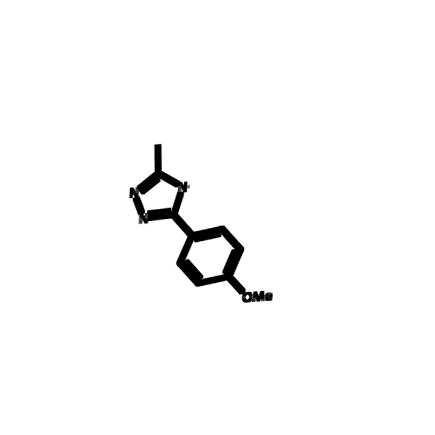 COc1ccc(C2=NN=C(C)[N]2)cc1